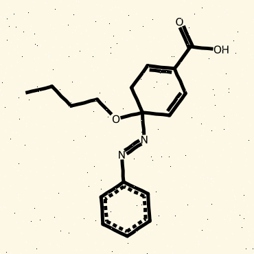 CCCCOC1(N=Nc2ccccc2)C=CC(C(=O)O)=CC1